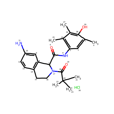 Cc1cc(NC(=O)C2c3cc(N)ccc3CCN2C(=O)C(C)(C)C)c(C)c(C)c1O.Cl